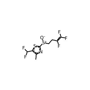 Cc1nc([S+]([O-])CCC(F)=C(F)F)sc1C(F)F